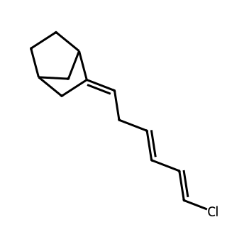 ClC=CC=CCC=C1CC2CCC1C2